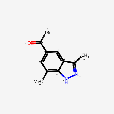 COc1cc(C(=O)C(C)(C)C)cc2c(C)n[nH]c12